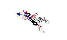 COc1c(OC(F)(F)F)ccc2c1C(=O)N(C1CCC(=O)NC1=O)C2